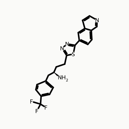 N[C@H](CCc1nnc(-c2ccc3cnccc3c2)s1)Cc1ccc(C(F)(F)F)cc1